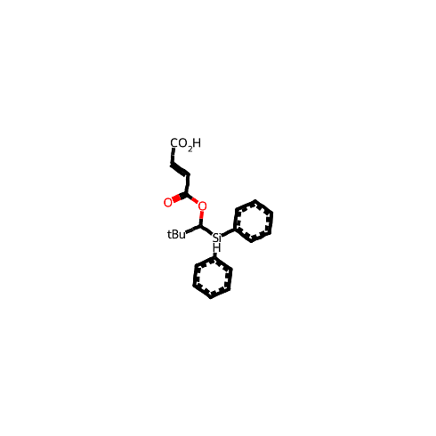 CC(C)(C)C(OC(=O)C=CC(=O)O)[SiH](c1ccccc1)c1ccccc1